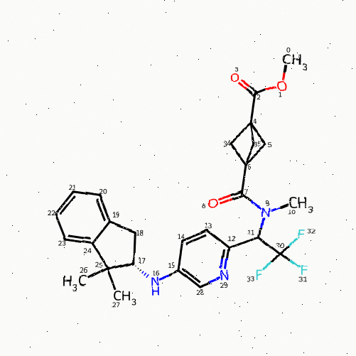 COC(=O)C12CC(C(=O)N(C)C(c3ccc(N[C@H]4Cc5ccccc5C4(C)C)cn3)C(F)(F)F)(C1)C2